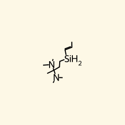 CC=C[SiH2]CCC(C)(N(C)C)N(C)C